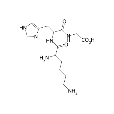 NCCCCC(N)C(=O)NC(Cc1c[nH]cn1)C(=O)NCC(=O)O